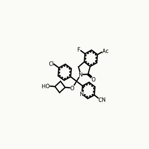 CC(=O)c1cc(F)c2c(c1)C(=O)N(C(OC1CC(O)C1)(c1ccc(Cl)cc1)c1ccc(C#N)cn1)C2